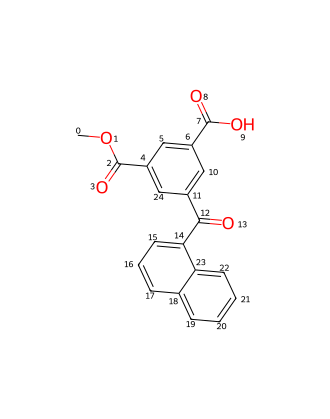 COC(=O)c1cc(C(=O)O)cc(C(=O)c2cccc3ccccc23)c1